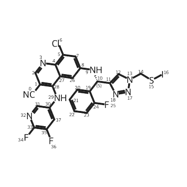 N#Cc1cnc2c(Cl)cc(N[C@H](c3cn(CSI)nn3)c3ccccc3F)cc2c1Nc1cnc(F)c(F)c1